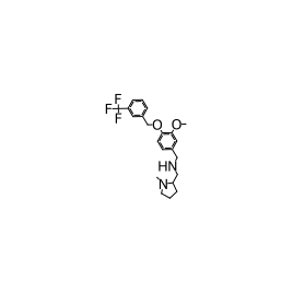 COc1cc(CNCC2CCCN2C)ccc1OCc1cccc(C(F)(F)F)c1